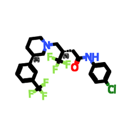 O=C(C[C@@H](CN1CCC[C@H](c2cccc(C(F)(F)F)c2)C1)C(F)(F)F)Nc1ccc(Cl)cc1